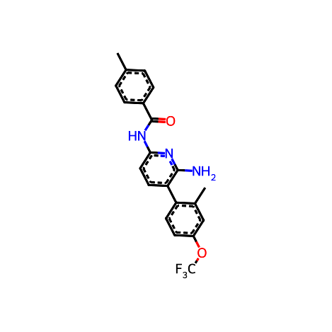 Cc1ccc(C(=O)Nc2ccc(-c3ccc(OC(F)(F)F)cc3C)c(N)n2)cc1